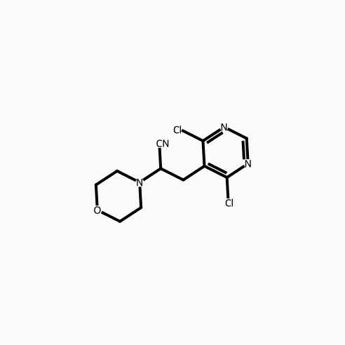 N#CC(Cc1c(Cl)ncnc1Cl)N1CCOCC1